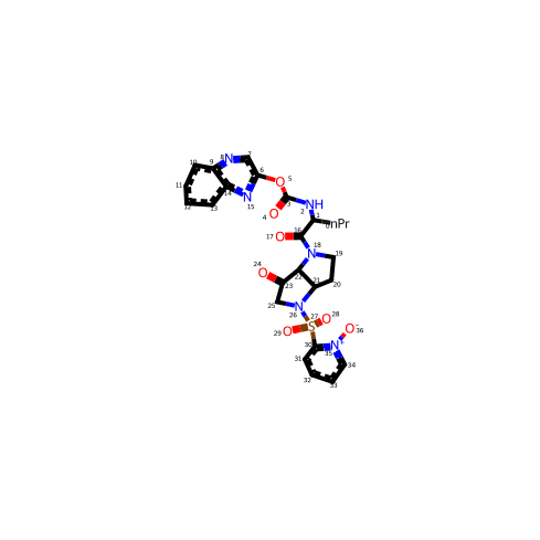 CCCC(NC(=O)Oc1cnc2ccccc2n1)C(=O)N1CCC2C1C(=O)CN2S(=O)(=O)c1cccc[n+]1[O-]